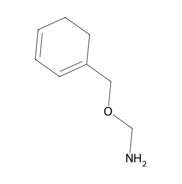 NCOCC1=CC=CCC1